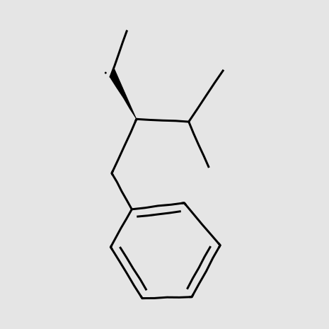 C[CH][C@H](Cc1ccccc1)C(C)C